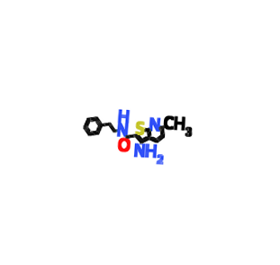 Cc1ccc2c(N)c(C(=O)NCCc3ccccc3)sc2n1